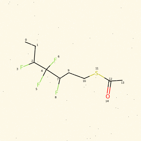 CCC(F)C(F)(F)C(F)CCSC(C)=O